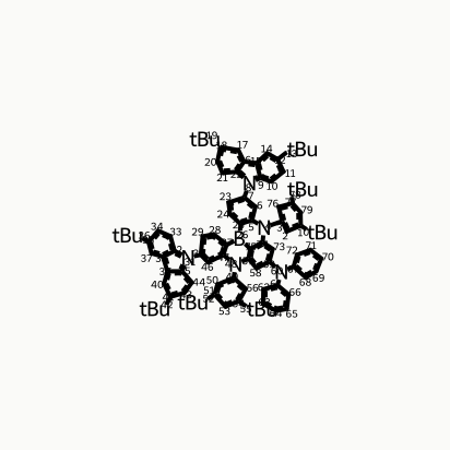 CC(C)(C)c1cc(N2c3cc(-n4c5ccc(C(C)(C)C)cc5c5cc(C(C)(C)C)ccc54)ccc3B3c4ccc(-n5c6ccc(C(C)(C)C)cc6c6cc(C(C)(C)C)ccc65)cc4N(c4cc(C(C)(C)C)cc(C(C)(C)C)c4)c4cc(N(c5ccccc5)c5ccccc5)cc2c43)cc(C(C)(C)C)c1